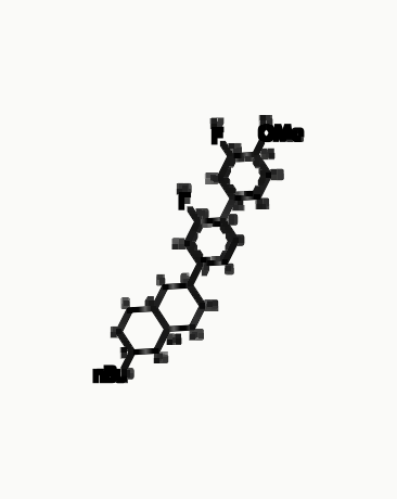 CCCCC1CCC2CC(c3ccc(-c4ccc(OC)c(F)c4)c(F)c3)CCC2C1